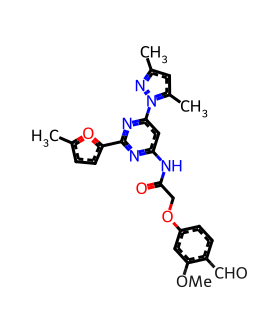 COc1cc(OCC(=O)Nc2cc(-n3nc(C)cc3C)nc(-c3ccc(C)o3)n2)ccc1C=O